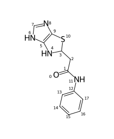 O=C(CC1Nc2[nH]cnc2S1)Nc1ccccc1